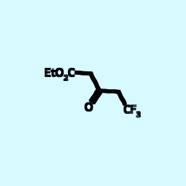 CCOC(=O)CC(=O)CC(F)(F)F